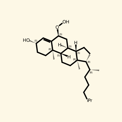 CC(C)CCC[C@@H](C)[C@H]1CC[C@H]2[C@@H]3C[C@H](OO)C4=C[C@@H](O)CC[C@]4(C)[C@H]3CC[C@]12C